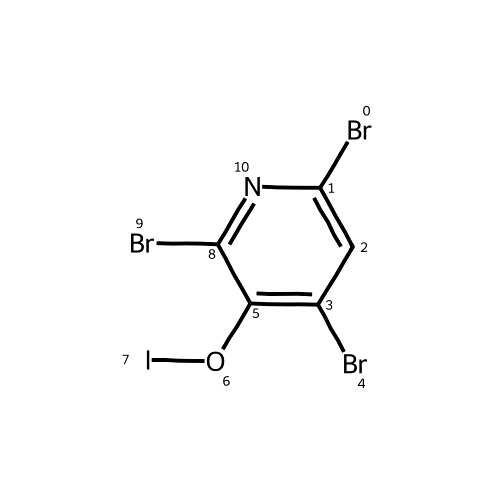 Brc1cc(Br)c(OI)c(Br)n1